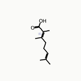 CC(C)=CCC/C(C)=C(\C)C(=O)O